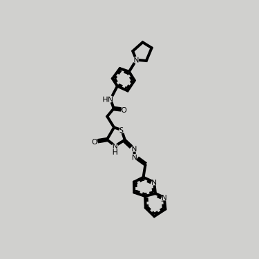 O=C(CC1S/C(=N/N=C/c2ccc3cccnc3n2)NC1=O)Nc1ccc(N2CCCC2)cc1